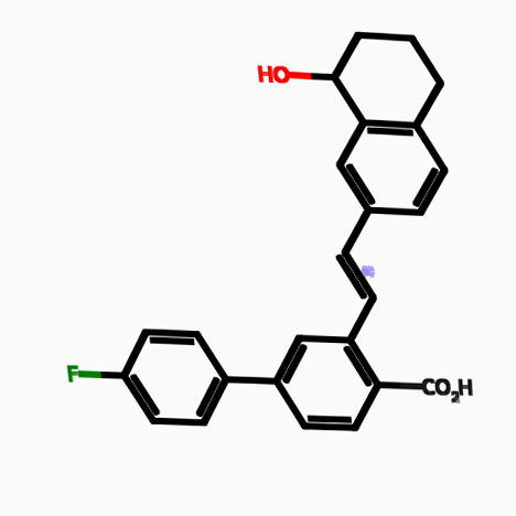 O=C(O)c1ccc(-c2ccc(F)cc2)cc1/C=C/c1ccc2c(c1)C(O)CCC2